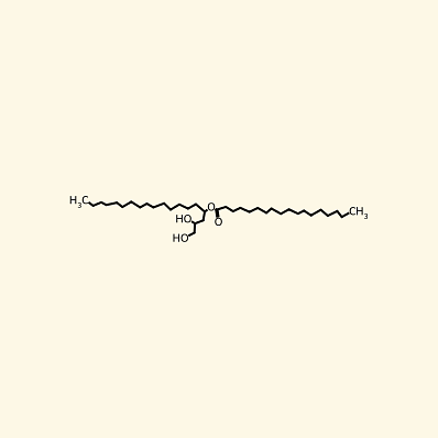 CCCCCCCCCCCCCCCCCC(=O)OC(CCCCCCCCCCCCCCC)CC(O)CO